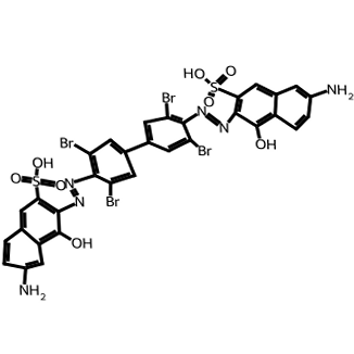 Nc1ccc2c(O)c(/N=N/c3c(Br)cc(-c4cc(Br)c(/N=N/c5c(S(=O)(=O)O)cc6ccc(N)cc6c5O)c(Br)c4)cc3Br)c(S(=O)(=O)O)cc2c1